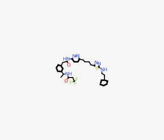 CC(NC(=O)CC(F)(F)F)c1cccc(CC(=O)Nc2ccc(CCCCc3nnc(NCCc4ccccc4)s3)nn2)c1